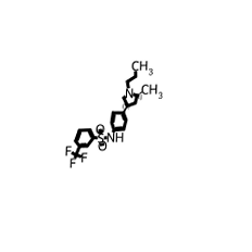 CCCN1C[C@H](c2ccc(NS(=O)(=O)c3cccc(C(F)(F)F)c3)cc2)C[C@H]1C